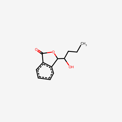 CCCC(O)C1OC(=O)c2ccccc21